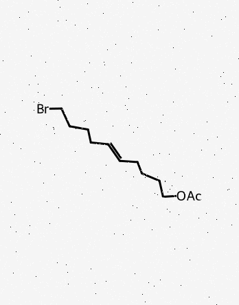 CC(=O)OCCCCC=CCCCCBr